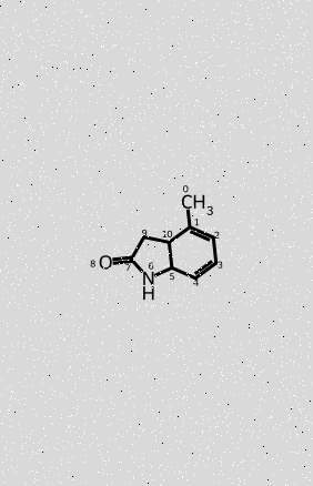 CC1=CC=CC2NC(=O)CC12